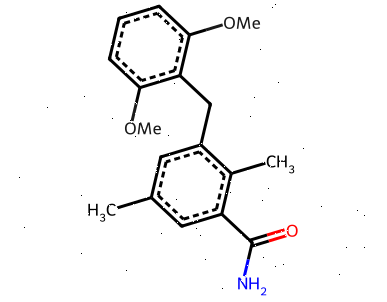 COc1cccc(OC)c1Cc1cc(C)cc(C(N)=O)c1C